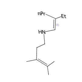 CCC/C(=C\NCCC(C)=C(C)C)CC